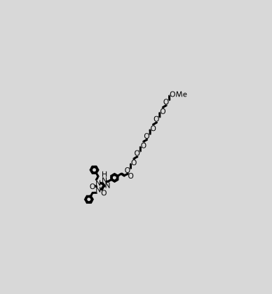 COCCOCCOCCOCCOCCOCCOCCOCCOCCOC(=O)C=Cc1ccc(-c2nc3c(=O)n(CCc4ccccc4)c(=O)n(CCc4ccccc4)c3[nH]2)cc1